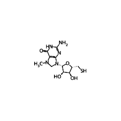 CN1CN([C@@H]2O[C@H](CS)[C@@H](O)[C@H]2O)c2nc(N)[nH]c(=O)c21